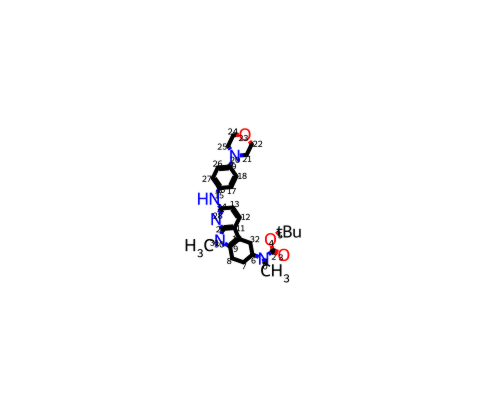 CN(C(=O)OC(C)(C)C)C1CCc2c(c3ccc(Nc4ccc(N5CCOCC5)cc4)nc3n2C)C1